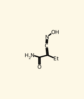 CCC(=C=NO)C(N)=O